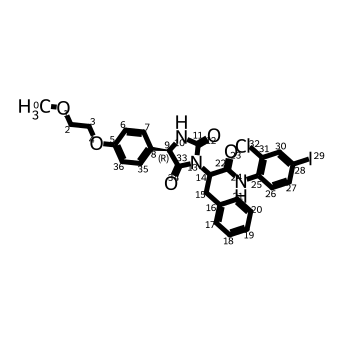 COCCOc1ccc([C@H]2NC(=O)N(C(Cc3ccccc3)C(=O)Nc3ccc(I)cc3Cl)C2=O)cc1